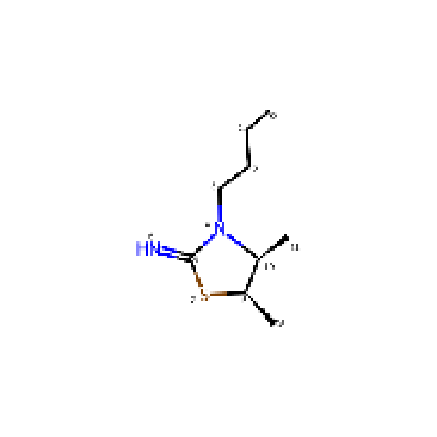 CCCCN1C(=N)S[C@H](C)[C@@H]1C